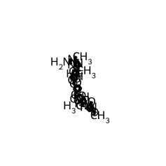 COc1ccn([C@@H]2O[C@@H]3OCP(=O)(Oc4cccc(OP5(=O)OC[C@H]6O[C@@H](n7cnc8c(C)nc(N)nc87)[C@](C)(F)[C@@H]6O5)c4)O[C@H]3[C@@]2(C)F)c(=O)n1